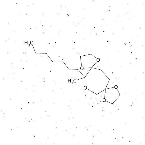 CCCCCCCC1(C)OCC2(CCC13OCCO3)OCCO2